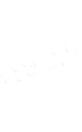 CN(C)C(=Nc1ccc(N=P(N(C)C)(N(C)C)N(C)C)cc1)N(C)C